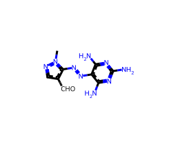 Cn1ncc(C=O)c1/N=N/c1c(N)nc(N)nc1N